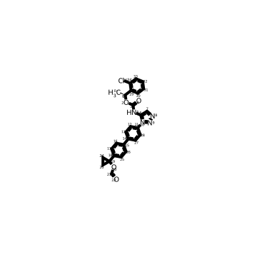 C[C@@H](OC(=O)Nc1cnnn1-c1ccc(-c2ccc(C3(OC=O)CC3)cc2)cc1)c1ccccc1Cl